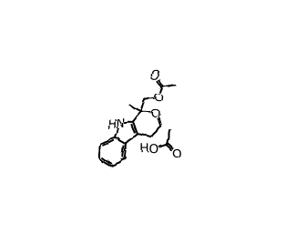 CC(=O)O.CC(=O)OCC1(C)OCCc2c1[nH]c1ccccc21